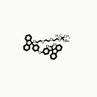 CCCCC(C)(C)OCCOCCOCCOC1(c2ccc(Oc3ccc(C4(C(CC)CC)c5ccccc5-c5ccccc54)cc3)cc2)c2ccccc2-c2ccccc21